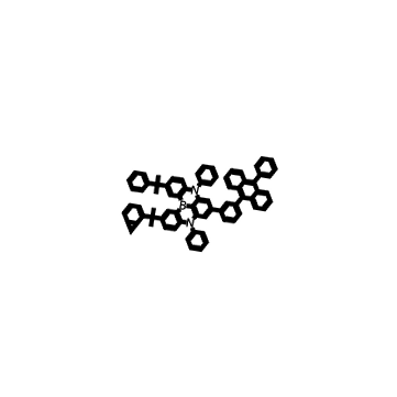 CC(C)(C1=CC=CC2CC12)c1ccc2c(c1)B1c3cc(C(C)(C)c4ccccc4)ccc3N(c3ccccc3)c3cc(-c4cccc(-c5c6ccccc6c(-c6ccccc6)c6ccccc56)c4)cc(c31)N2c1ccccc1